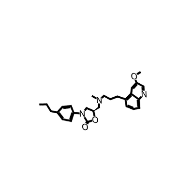 CCCc1ccc(N2C[C@@H](CN(C)CCCc3cccc4ncc(OC)cc34)OC2=O)cc1